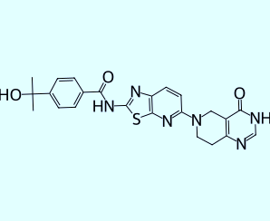 CC(C)(O)c1ccc(C(=O)Nc2nc3ccc(N4CCc5nc[nH]c(=O)c5C4)nc3s2)cc1